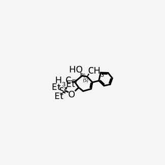 CC[Si](CC)(CC)OC1CC=C(c2ccccc2)[C@H](C)[C@@H](O)[C@H]1C